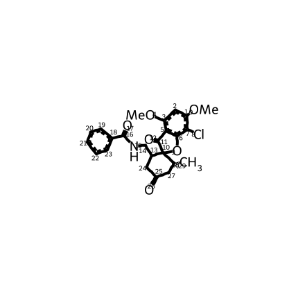 COc1cc(OC)c2c(c1Cl)OC1(C2=O)C(CNC(=O)c2ccccc2)CC(=O)C[C@H]1C